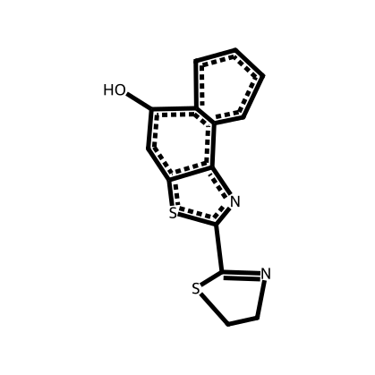 Oc1cc2sc(C3=NCCS3)nc2c2ccccc12